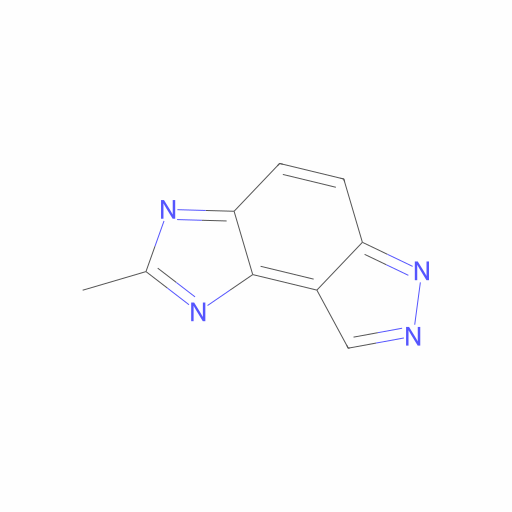 CC1=Nc2c3c(ccc2=N1)=NN=C3